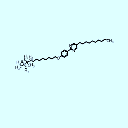 CCCCCCCCCCc1cnc(-c2ccc(OCCCCCCCC[SiH2]C(C)(C)[Si](C)(C)C)cc2)nc1